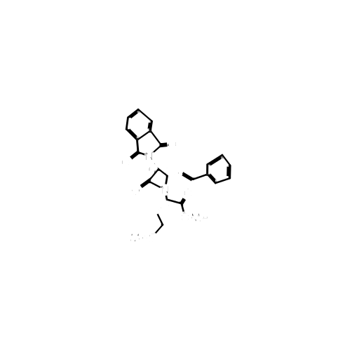 COC(=O)[C@H](CCSC)N1C(=O)[C@H](N2C(=O)c3ccccc3C2=O)[C@@H]1C=Cc1ccccc1